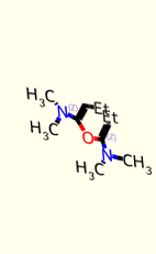 CC/C=C(\O/C(=C\CC)N(C)C)N(C)C